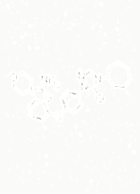 NC(=O)C1(c2cccc(Sc3ccc(-n4ncn(C5CCCCCC5)c4=O)cc3)c2)CCOCC1